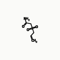 C=CCS(=O)(=O)CC(N)=O